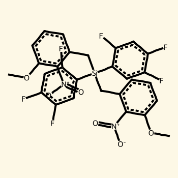 COc1cccc(C[Si](Cc2cccc(OC)c2[N+](=O)[O-])(c2cc(F)c(F)cc2F)c2cc(F)c(F)cc2F)c1[N+](=O)[O-]